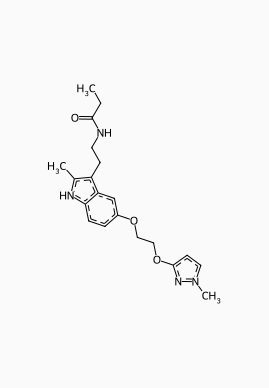 CCC(=O)NCCc1c(C)[nH]c2ccc(OCCOc3ccn(C)n3)cc12